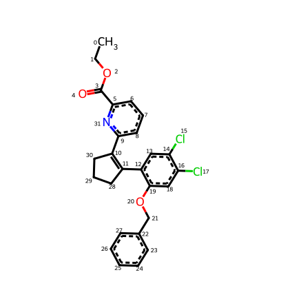 CCOC(=O)c1cccc(C2=C(c3cc(Cl)c(Cl)cc3OCc3ccccc3)CCC2)n1